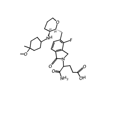 COC1(C)CCC(N[C@H]2CCCO[C@@H]2Cc2ccc3c(c2F)CN(C(CCC(=O)O)C(N)=O)C3=O)CC1